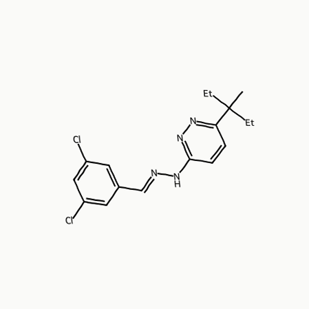 CCC(C)(CC)c1ccc(NN=Cc2cc(Cl)cc(Cl)c2)nn1